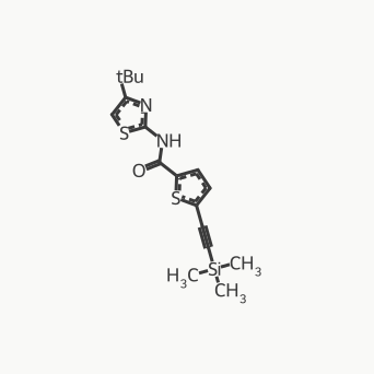 CC(C)(C)c1csc(NC(=O)c2ccc(C#C[Si](C)(C)C)s2)n1